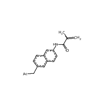 C=C(C)C(=O)Nc1ccc2cc(CC(C)=O)ccc2c1